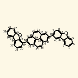 c1ccc2c(c1)oc1ccc(-c3cc4ccc5cc(-c6cccc7c6oc6ccccc67)cc6ccc(c3)c4c56)cc12